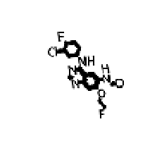 O=CNc1cc2c(Nc3ccc(F)c(Cl)c3)ncnc2cc1OCCF